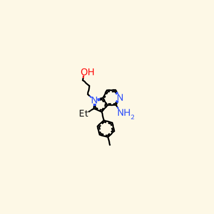 CCc1c(-c2ccc(C)cc2)c2c(N)nccc2n1CCCO